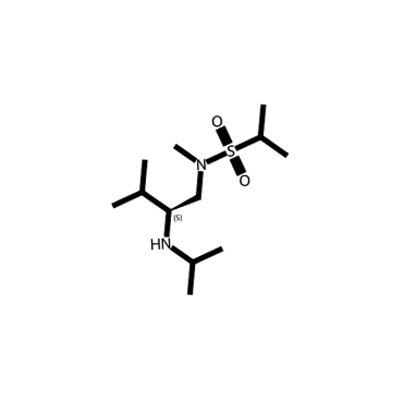 CC(C)N[C@H](CN(C)S(=O)(=O)C(C)C)C(C)C